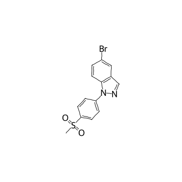 CS(=O)(=O)c1ccc(-n2ncc3cc(Br)ccc32)cc1